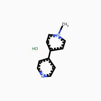 C[n+]1ccc(-c2ccncc2)cc1.Cl